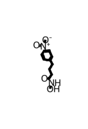 O=C(CCCc1ccc([N+](=O)[O-])cc1)NO